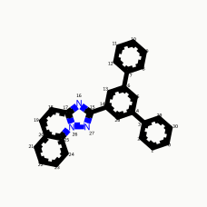 c1ccc(-c2cc(-c3ccccc3)cc(-c3nc4ccc5ccccc5n4n3)c2)cc1